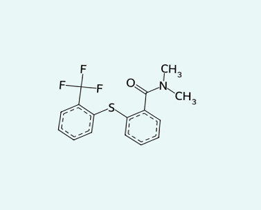 CN(C)C(=O)c1ccccc1Sc1ccccc1C(F)(F)F